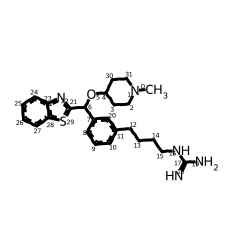 CN1CCC(OC(c2cccc(CCCCNC(=N)N)c2)c2nc3ccccc3s2)CC1